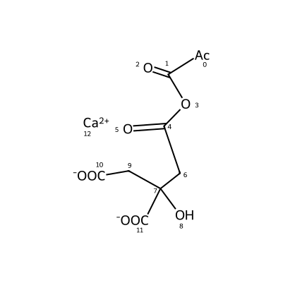 CC(=O)C(=O)OC(=O)CC(O)(CC(=O)[O-])C(=O)[O-].[Ca+2]